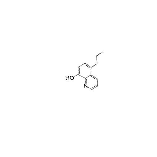 CCCc1ccc(O)c2ncccc12